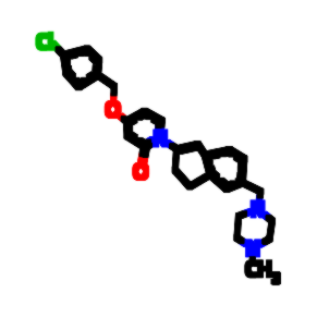 CN1CCN(Cc2ccc3c(c2)CCC(n2ccc(OCc4ccc(Cl)cc4)cc2=O)=C3)CC1